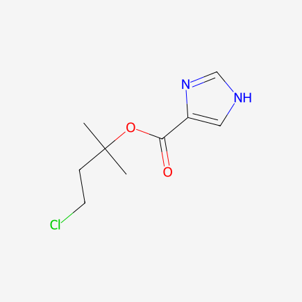 CC(C)(CCCl)OC(=O)c1c[nH]cn1